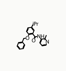 Cc1ncccc1NC(=O)c1cc(C(C)C)ccc1OCc1ccccc1